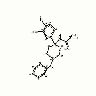 CC(=O)NC1(c2ccc(F)c(F)c2)CCN(Cc2ccccc2)CC1